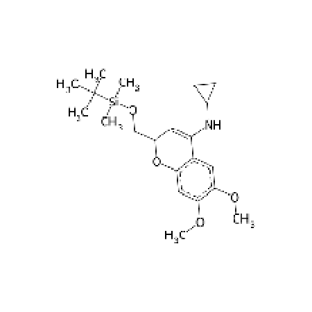 COc1cc2c(cc1OC)C(NC1CC1)=CC(CO[Si](C)(C)C(C)(C)C)O2